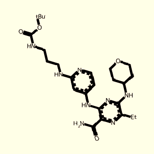 CCc1nc(C(N)=O)c(Nc2ccnc(NCCCNC(=O)OC(C)(C)C)c2)nc1NC1CCOCC1